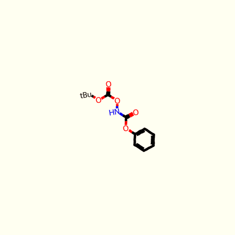 CC(C)(C)OC(=O)ONC(=O)Oc1ccccc1